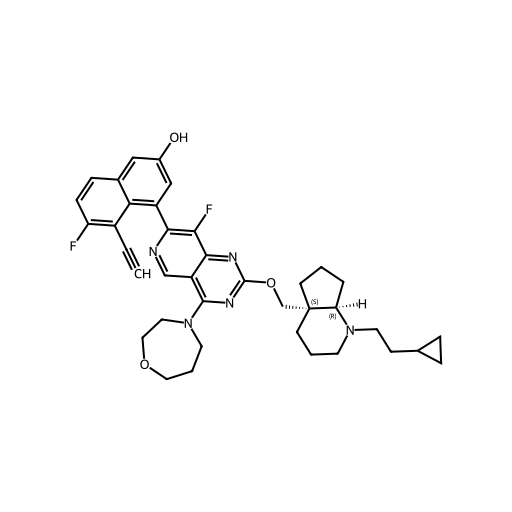 C#Cc1c(F)ccc2cc(O)cc(-c3ncc4c(N5CCCOCC5)nc(OC[C@]56CCC[C@H]5N(CCC5CC5)CCC6)nc4c3F)c12